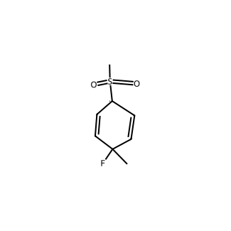 CC1(F)C=C[C](S(C)(=O)=O)C=C1